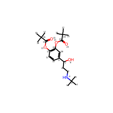 CC(C)(C)NCCC(O)c1ccc(OC(=O)C(C)(C)C)c(OC(=O)C(C)(C)C)c1